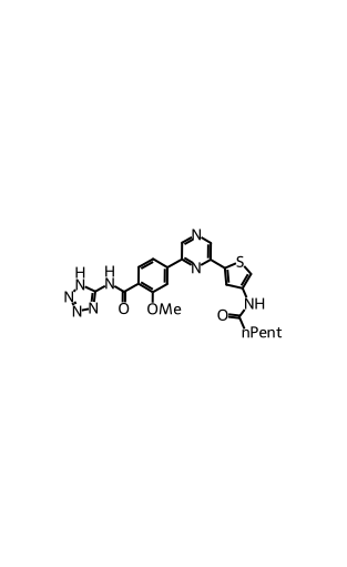 CCCCCC(=O)Nc1csc(-c2cncc(-c3ccc(C(=O)Nc4nnn[nH]4)c(OC)c3)n2)c1